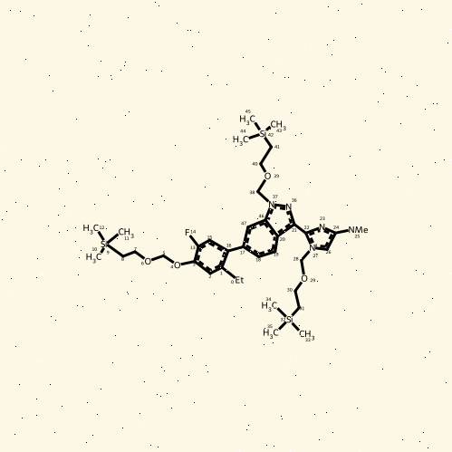 CCc1cc(OCOCC[Si](C)(C)C)c(F)cc1-c1ccc2c(-c3nc(NC)cn3COCC[Si](C)(C)C)nn(COCC[Si](C)(C)C)c2c1